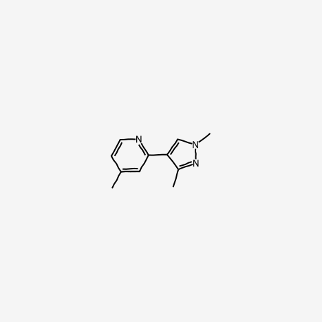 Cc1ccnc(-c2cn(C)nc2C)c1